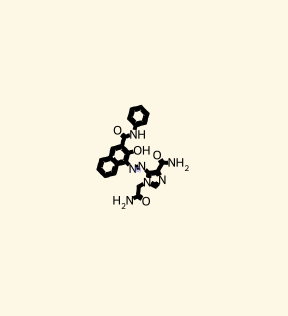 NC(=O)Cn1cnc(C(N)=O)c1/N=N/c1c(O)c(C(=O)Nc2ccccc2)cc2ccccc12